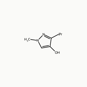 CC(C)c1nn(C)cc1O